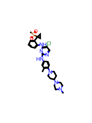 Cc1cc(Nc2ncc(Cl)c(Nc3ccccc3C3(S(C)(=O)=O)CC3)n2)ccc1N1CCC(N2CCN(C)CC2)CC1